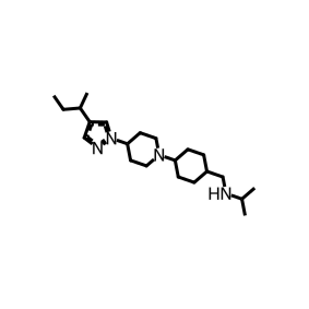 CCC(C)c1cnn(C2CCN(C3CCC(CNC(C)C)CC3)CC2)c1